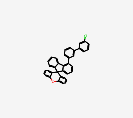 Clc1cccc(-c2cccc(-c3cccc4c3-c3ccccc3C43c4ccccc4Oc4ccccc43)c2)c1